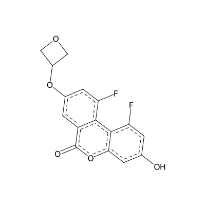 O=c1oc2cc(O)cc(F)c2c2c(F)cc(OC3COC3)cc12